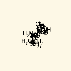 CC1(C)C(c2cc(N)n(CC(=O)N3CC[C@@]4(C3)OC(=O)Nc3ccc(Cl)c(F)c34)n2)C1(C)C